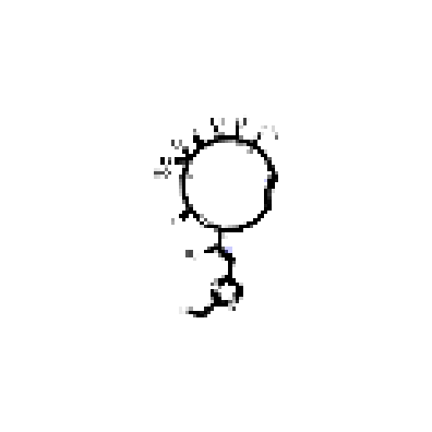 C/C(=C\c1csc(CO)n1)[C@@H]1CCC/C=C/C[C@H](C)[C@H](O)[C@@H](C)C(=O)C(C)(C)[C@@H](O)CC(=O)O1